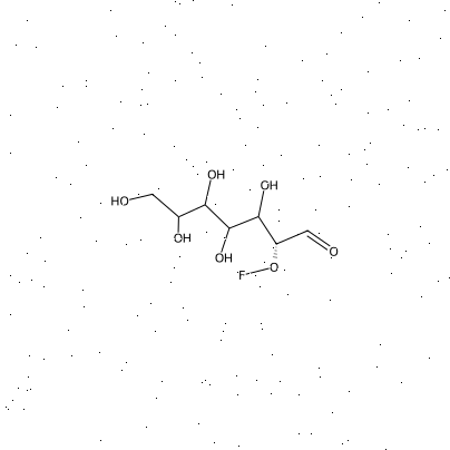 O=C[C@H](OF)C(O)C(O)C(O)C(O)CO